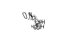 O=[N+]([O-])c1ccc(/C=C/c2cc(O)c(O)c(O)c2)cc1